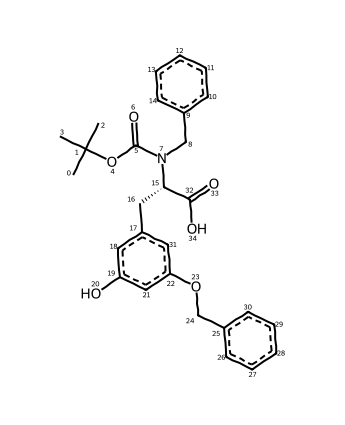 CC(C)(C)OC(=O)N(Cc1ccccc1)[C@@H](Cc1cc(O)cc(OCc2ccccc2)c1)C(=O)O